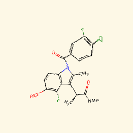 CNC(=O)[C@@H](C)c1c(C)n(C(=O)c2ccc(Cl)c(F)c2)c2ccc(O)c(F)c12